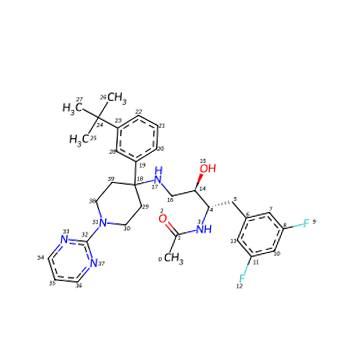 CC(=O)N[C@@H](Cc1cc(F)cc(F)c1)[C@H](O)CNC1(c2cccc(C(C)(C)C)c2)CCN(c2ncccn2)CC1